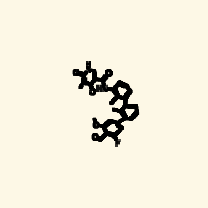 COc1cc(-c2cccc(-c3cccc(NC(=O)c4c[nH]c(=O)n(C)c4=O)c3C)c2C)cc(F)c1C=O